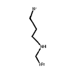 CCCCNCCCBr